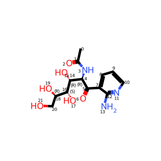 CC(=O)N[C@@H](C(=O)c1cccnc1N)[C@@H](O)[C@H](O)[C@H](O)CO